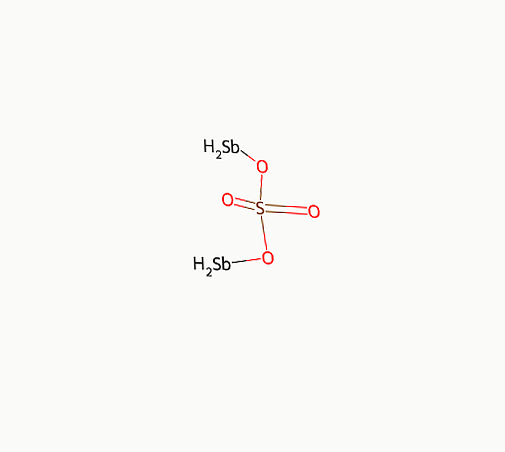 O=S(=O)([O][SbH2])[O][SbH2]